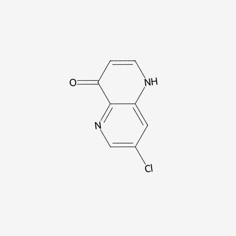 O=c1cc[nH]c2cc(Cl)cnc12